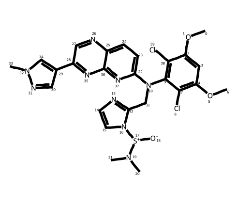 COc1cc(OC)c(Cl)c(N(Cc2nccn2[S+]([O-])N(C)C)c2ccc3ncc(-c4cnn(C)c4)nc3n2)c1Cl